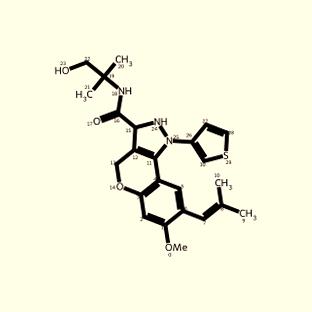 COc1cc2c(cc1C=C(C)C)C1=C(CO2)C(C(=O)NC(C)(C)CO)NN1c1ccsc1